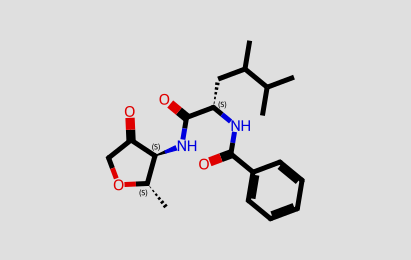 CC(C)C(C)C[C@H](NC(=O)c1ccccc1)C(=O)N[C@@H]1C(=O)CO[C@H]1C